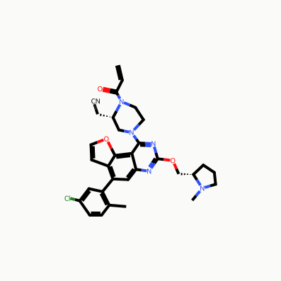 C=CC(=O)N1CCN(c2nc(OC[C@@H]3CCCN3C)nc3cc(-c4cc(Cl)ccc4C)c4ccoc4c23)C[C@@H]1CC#N